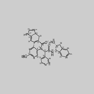 CC(C)(C)c1ccc(N(C(=O)C2=CC=C3NC=NC3C2)C(C(=O)N[C@H]2c3ccccc3C[C@H]2O)c2cccnc2)cc1